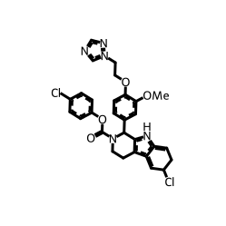 COc1cc(C2c3[nH]c4c(c3CCN2C(=O)Oc2ccc(Cl)cc2)=CC(Cl)CC=4)ccc1OCCn1cncn1